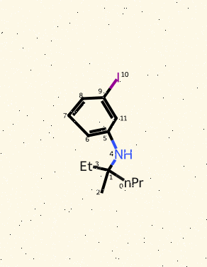 CCCC(C)(CC)Nc1cccc(I)c1